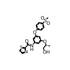 C[C@@H](CO)Oc1cc(NC(=O)c2nccs2)cc(Oc2ccc(S(C)(=O)=O)cc2)c1